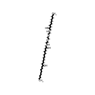 CCCCCCCCCCC(O)CCCCCCCCCCCC(O)CNCCOCCOCCNCC(O)CCCCCCCCCC